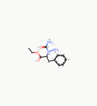 CCOC(=O)C(Cc1ccccc1)N(N)C(N)=O